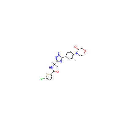 Cc1cc(-c2nc(C(C)(C)NC(=O)c3ccc(Br)s3)n[nH]2)ccc1N1CCOCC1=O